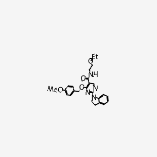 CCOCCNC(=O)c1cnc(N2CCc3ccccc32)nc1OCc1ccc(OC)cc1